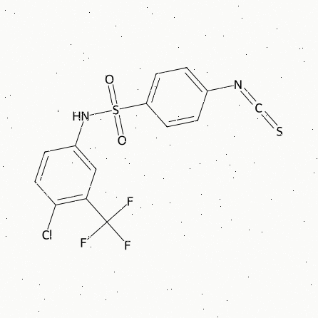 O=S(=O)(Nc1ccc(Cl)c(C(F)(F)F)c1)c1ccc(N=C=S)cc1